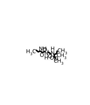 CCCC(N)C(=O)C(=O)NCC(=O)NC(C(=O)OC)C(C)CC